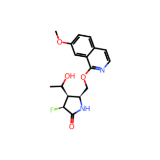 COc1ccc2ccnc(OC[C@H]3NC(=O)[C@@H](F)[C@H]3C(C)O)c2c1